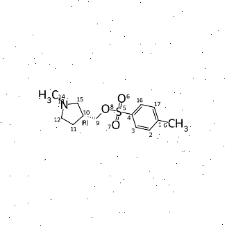 Cc1ccc(S(=O)(=O)OC[C@@H]2CCN(C)C2)cc1